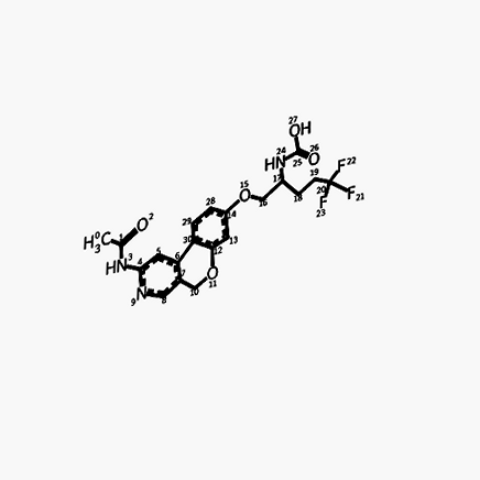 CC(=O)Nc1cc2c(cn1)COc1cc(OCC(CCC(F)(F)F)NC(=O)O)ccc1-2